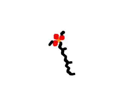 C/C=C\CC/C(C)=C/C/C=C(C)/C=C/P(=O)(OCC)OCC